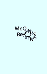 COc1nc2scnc2cc1Br